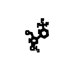 Cn1cc(-c2cccc(C(F)(F)F)n2)c(C=O)n1